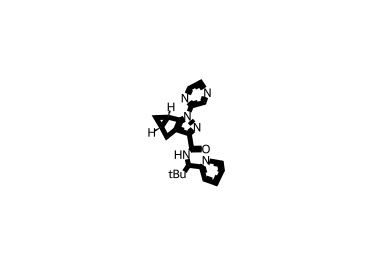 CC(C)(C)C(NC(=O)c1nn(-c2cnccn2)c2c1C[C@H]1C[C@@H]21)c1ccccn1